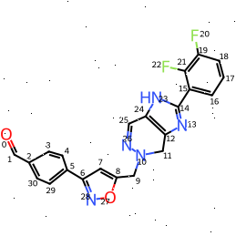 O=Cc1ccc(-c2cc(CN3Cc4nc(-c5cccc(F)c5F)[nH]c4C=N3)on2)cc1